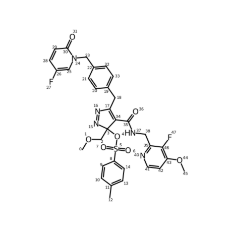 COCC1(OS(=O)(=O)c2ccc(C)cc2)N=NC(Cc2ccc(Cn3cc(F)ccc3=O)cc2)=C1C(=O)NCc1nccc(OC)c1F